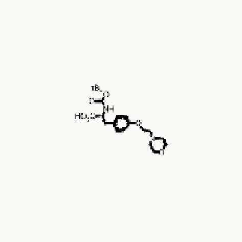 CC(C)(C)OC(=O)N[C@@H](Cc1ccc(OCCN2CCOCC2)cc1)C(=O)O